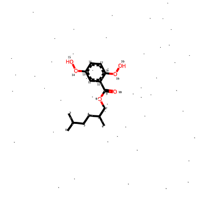 CC(C)CCC(C)COC(=O)c1cc(OO)ccc1OO